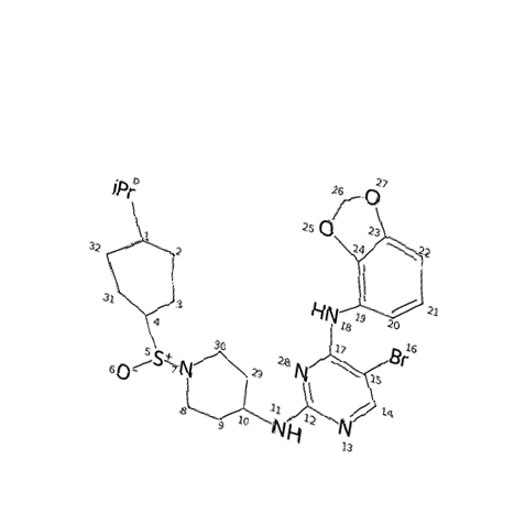 CC(C)C1CCC([S+]([O-])N2CCC(Nc3ncc(Br)c(Nc4cccc5c4OCO5)n3)CC2)CC1